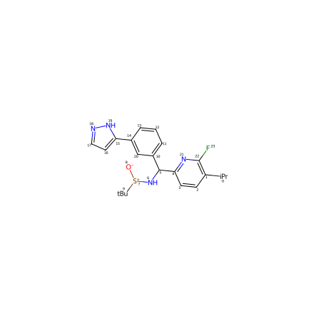 CC(C)c1ccc(C(N[S+]([O-])C(C)(C)C)c2cccc(-c3ccn[nH]3)c2)nc1F